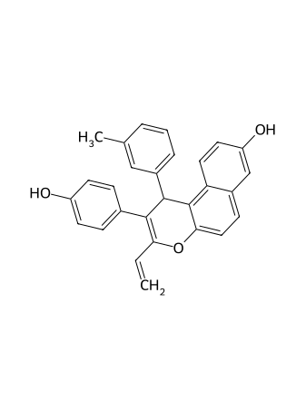 C=CC1=C(c2ccc(O)cc2)C(c2cccc(C)c2)c2c(ccc3cc(O)ccc23)O1